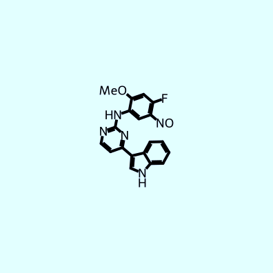 COc1cc(F)c(N=O)cc1Nc1nccc(-c2c[nH]c3ccccc23)n1